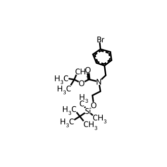 CC(C)(C)OC(=O)N(CCO[Si](C)(C)C(C)(C)C)Cc1ccc(Br)cc1